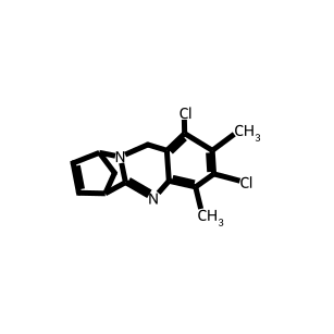 Cc1c(Cl)c(C)c2c(c1Cl)CN1C(=N2)C2C=CC1C2